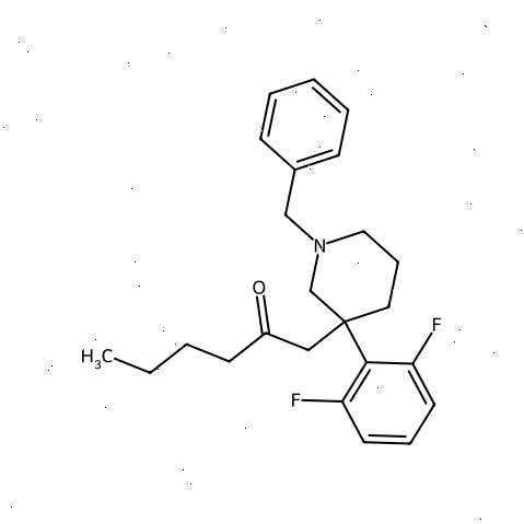 CCCCC(=O)CC1(c2c(F)cccc2F)CCCN(Cc2ccccc2)C1